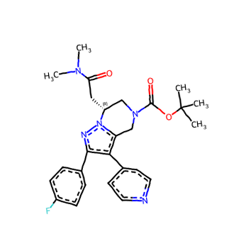 CN(C)C(=O)C[C@@H]1CN(C(=O)OC(C)(C)C)Cc2c(-c3ccncc3)c(-c3ccc(F)cc3)nn21